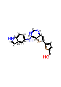 OCc1ccc(-c2cc3ncnc(Nc4ccc5[nH]ccc5c4)c3s2)s1